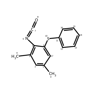 Cc1cc(C)c(N=C=O)c(Sc2ccccc2)c1